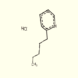 CCCCCc1ccccn1.Cl